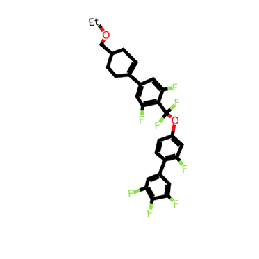 CCOCC1CC=C(c2cc(F)c(C(F)(F)Oc3ccc(-c4cc(F)c(F)c(F)c4)c(F)c3)c(F)c2)CC1